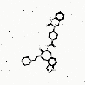 O=C(N[C@@H]1Cc2ccc3[nH]ncc3c2CN(CCN2CCOCC2)C1=O)N1CCC(N2Cc3ccccc3NC2=O)CC1